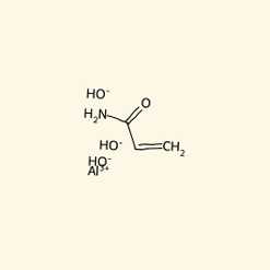 C=CC(N)=O.[Al+3].[OH-].[OH-].[OH-]